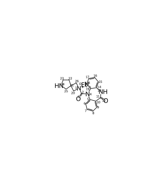 CC[N+]1(C(=O)N2c3ccccc3C(=O)Nc3cccnc32)CC2(CCNC2)C1